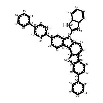 C1=CC2N=C(n3c4cc(-c5ncc(-c6ccccc6)cn5)ccc4c4c5sc6cc(-c7ccccc7)ccc6c5ccc43)NC2C=C1